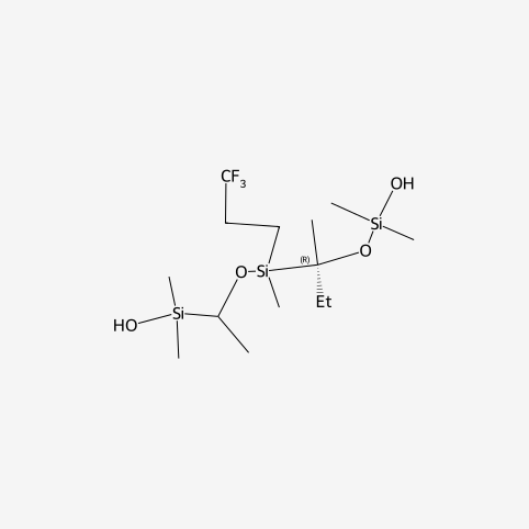 CC[C@](C)(O[Si](C)(C)O)[Si](C)(CCC(F)(F)F)OC(C)[Si](C)(C)O